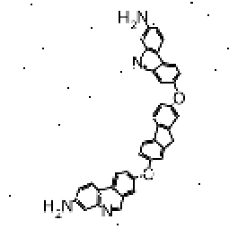 Nc1ccc2c(c1)ncc1cc(Oc3ccc4c(c3)Cc3cc(Oc5ccc6c(cnc7cc(N)ccc76)c5)ccc3-4)ccc12